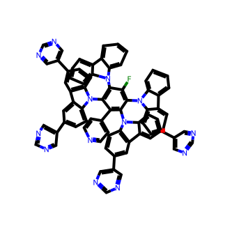 Fc1c(-n2c3ccccc3c3ccccc32)c(-n2c3ccc(-c4cncnc4)cc3c3cc(-c4cncnc4)ccc32)c(-c2ccncc2)c(-n2c3ccc(-c4cncnc4)cc3c3cc(-c4cncnc4)ccc32)c1-n1c2ccccc2c2ccccc21